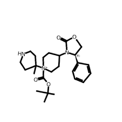 CC(C)(C)OC(=O)[N+]1(C2(C)CCNCC2)CCC(N2C(=O)OC[C@H]2c2ccccc2)CC1